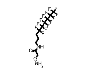 NOCC(=O)NCCCC(F)(F)C(F)(F)C(F)(F)C(F)(F)C(F)(F)C(F)(F)F